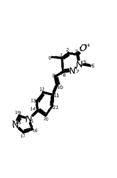 Cc1cc(=O)n(C)nc1C=Cc1ccc(-n2ccnc2)cc1